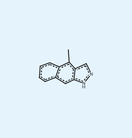 Cc1c2ccccc2cc2[nH]ncc12